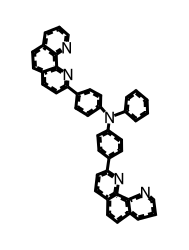 c1ccc(N(c2ccc(-c3ccc4ccc5cccnc5c4n3)cc2)c2ccc(-c3ccc4ccc5cccnc5c4n3)cc2)cc1